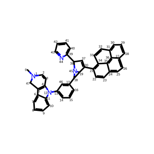 CN1C=Cc2c(c3ccccc3n2-c2cccc(C3C4C(c5ccc6ccc7cccc8ccc5c6c78)=CC(c5ccccn5)N43)c2)C1